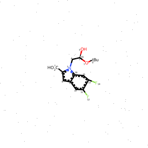 CC(C)(C)O[C@H](O)Cn1c(C(=O)O)cc2cc(F)c(F)cc21